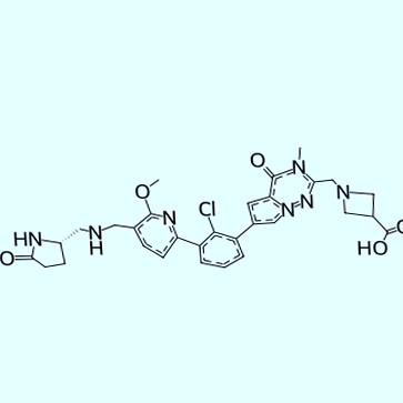 COc1nc(-c2cccc(-c3cc4c(=O)n(C)c(CN5CC(C(=O)O)C5)nn4c3)c2Cl)ccc1CNC[C@@H]1CCC(=O)N1